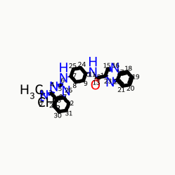 CN(C)c1nc(N[C@H]2CC[C@@H](NC(=O)c3cnc4ccccc4n3)CC2)nc2c1CCCC2